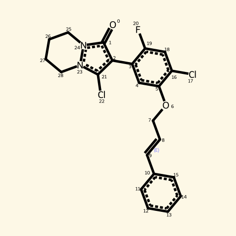 O=c1c(-c2cc(OC/C=C/c3ccccc3)c(Cl)cc2F)c(Cl)n2n1CCCC2